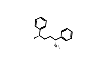 C[C@H](CC[C@@H](N)c1ccccc1)c1ccccc1